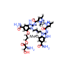 CCn1nc(C)cc1C(=O)/N=c1/[nH]c2cc(C(N)=O)cc(OC)c2n1C/C=C/Cn1/c(=N/C(=O)c2cc(C)nn2CC)[nH]c2cc(C(N)=O)cc(OCCCOC(=O)[C@@H](N)CO)c21